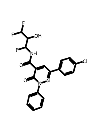 O=C(NC(F)C(O)C(F)F)c1cc(-c2ccc(Cl)cc2)nn(-c2ccccc2)c1=O